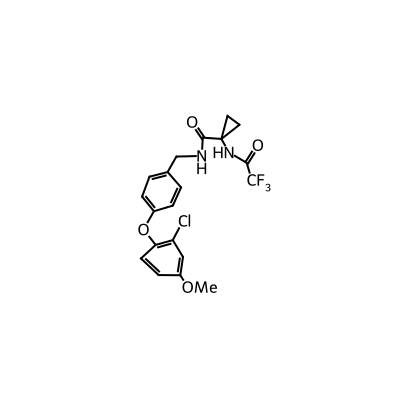 COc1ccc(Oc2ccc(CNC(=O)C3(NC(=O)C(F)(F)F)CC3)cc2)c(Cl)c1